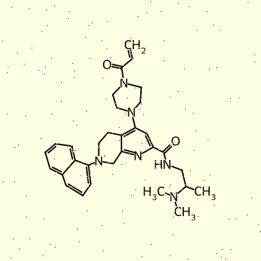 C=CC(=O)N1CCN(c2cc(C(=O)NCC(C)N(C)C)nc3c2CCN(c2cccc4ccccc24)C3)CC1